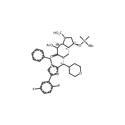 CC(=O)OC(C)C(=O)N(C[C@@H]1C(C(C)(C)C)N(C(=O)O)C[C@H]1O[Si](C)(C)C(C)(C)C)[C@@H](c1nc(-c2cc(F)ccc2F)cn1Cc1ccccc1)C1CCOCC1